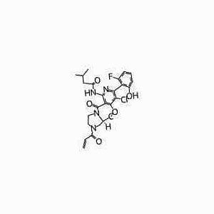 C=CC(=O)N1CCN2C(=O)c3c(NC(=O)CC(C)C)nc(-c4c(O)cccc4F)c(Cl)c3OC[C@H]2C1